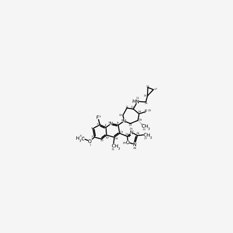 COc1cc(F)c2nc(N3CCC(NCC4CC4)C(F)[C@H](C)C3)c(-c3nc(C)no3)c(C)c2c1